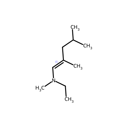 CCN(C)/C=C(\C)CC(C)C